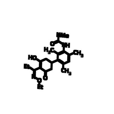 CCO/N=C(/CC)C1=C(O)CC(c2c(C)cc(C)c(NC(=O)NC)c2C)CC1=O